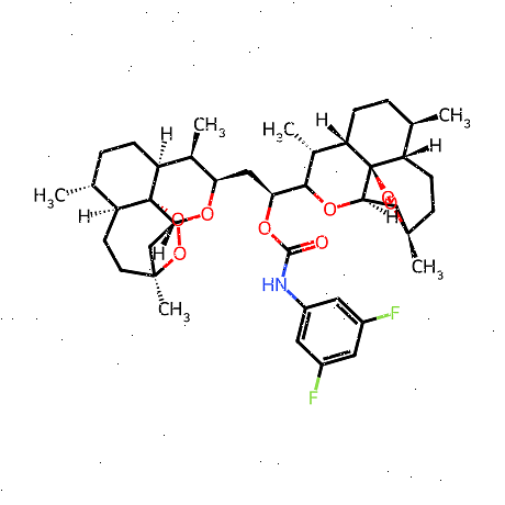 C[C@H]1[C@@H](C[C@H](OC(=O)Nc2cc(F)cc(F)c2)C2O[C@@H]3C[C@]4(C)CC[C@H]5[C@H](C)CC[C@@H]([C@H]2C)[C@@]35OO4)O[C@@H]2C[C@]3(C)CC[C@H]4[C@H](C)CC[C@@H]1[C@@]24OO3